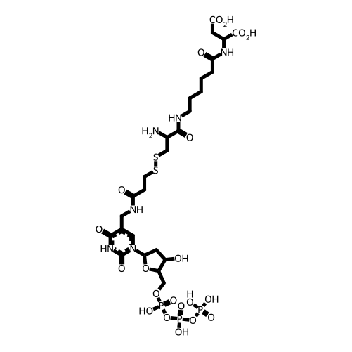 NC(CSSCCC(=O)NCc1cn(C2CC(O)C(COP(=O)(O)OP(=O)(O)OP(=O)(O)O)O2)c(=O)[nH]c1=O)C(=O)NCCCCCC(=O)NC(CC(=O)O)C(=O)O